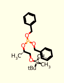 C[C@@H](CO[Si](C)(C)C(C)(C)C)OP(OCc1ccccc1)OCc1ccccc1